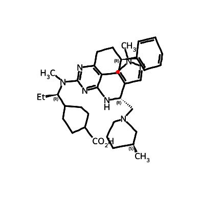 CC[C@H](C1CCC(C(=O)O)CC1)N(C)c1nc2c(c(N[C@@H](CN3CCC[C@H](C)C3)c3cnn(C)c3)n1)C[C@H](c1ccccc1)CC2